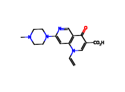 C=Cn1cc(C(=O)O)c(=O)c2cnc(N3CCN(C)CC3)cc21